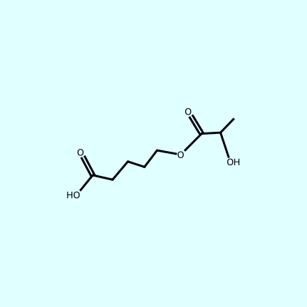 CC(O)C(=O)OCCCCC(=O)O